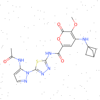 COc1c(NC23CC(C2)C3)cc(C(=O)Nc2nnc(-n3nccc3NC(C)=O)s2)oc1=O